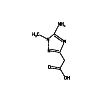 Cn1nc(CC(=O)O)nc1N